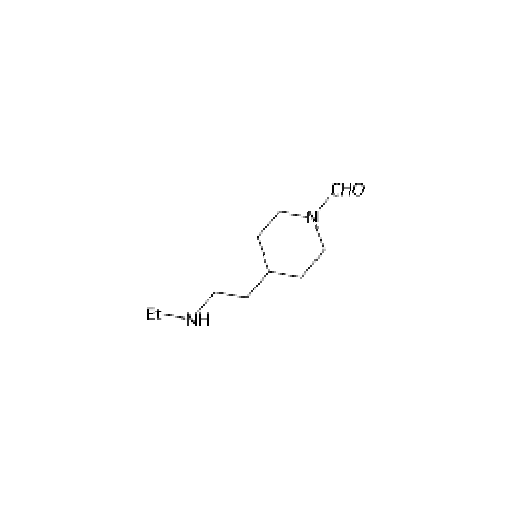 CCNCCC1CCN(C=O)CC1